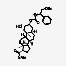 CNC(=O)[C@H]1CC[C@]2(N)[C@@H]3CC[C@@H]4C[C@@H](OC(=O)NC(COC(C)=O)c5ccccc5)CC[C@]4(C)[C@H]3CC[C@]12C.Cl